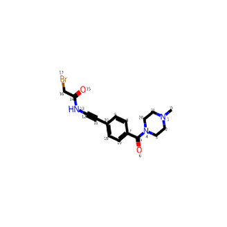 CN1CCN(C(=O)c2ccc(C#CNC(=O)CBr)cc2)CC1